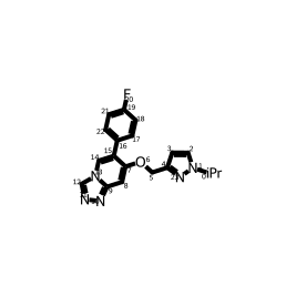 CC(C)n1ccc(COc2cc3nncn3cc2-c2ccc(F)cc2)n1